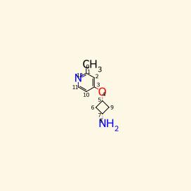 Cc1cc(O[C@H]2C[C@@H](N)C2)ccn1